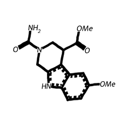 COC(=O)C1CN(C(N)=O)Cc2[nH]c3ccc(OC)cc3c21